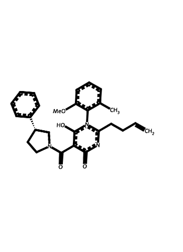 C=CCCc1nc(=O)c(C(=O)N2CC[C@H](c3ccccc3)C2)c(O)n1-c1c(C)cccc1OC